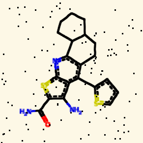 NC(=O)c1sc2nc3c(c(-c4cccs4)c2c1N)CCC1CCCCC31